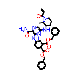 C=CC(=O)N1CCC[C@@H](Nc2cnc(C(N)=O)c(Nc3ccc(C(=O)OCc4ccccc4)c(C(=O)OCc4ccccc4)c3)n2)[C@H]1C